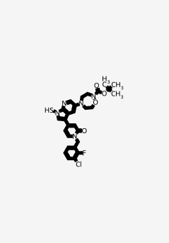 CC(C)(C)OC(=O)N1CCN(c2cnc3c(c2)c(-c2ccn(Cc4cccc(Cl)c4F)c(=O)c2)cn3S)CCO1